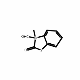 C[N+]1(C=O)C(=O)Sc2ccccc21